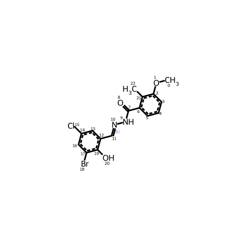 COc1cccc(C(=O)N/N=C/c2cc(Cl)cc(Br)c2O)c1C